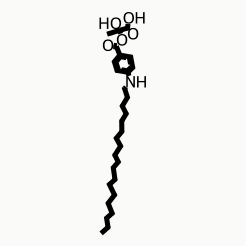 CCCCCCCCCCCCCCCCCCCNc1ccc(C(=O)OC(C)(O)C(=O)O)cc1